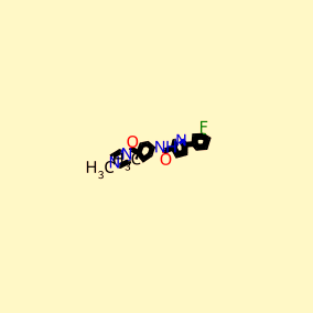 CN1CCN(C(=O)[C@]2(C)CC[C@H](NC(=O)c3ccc(-c4cccc(F)c4)nc3)CC2)CC1